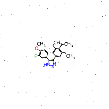 CCc1cc(-c2nn[nH]c2-c2ccc(OC)c(F)c2)cc(CC)c1CC